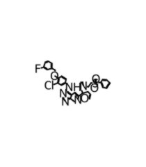 CN(CCS(=O)(=O)c1ccccc1)CC1(c2cc3c(Nc4ccc(OCc5cccc(F)c5)c(Cl)c4)ncnc3cn2)CC=CO1